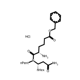 CCCCCC[C@@H](CC(N)=O)N(CCCCC)C(=O)[C@@H](N)CCCC(=O)OCc1ccccc1.Cl